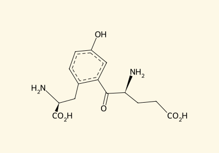 N[C@@H](Cc1ccc(O)cc1C(=O)[C@@H](N)CCC(=O)O)C(=O)O